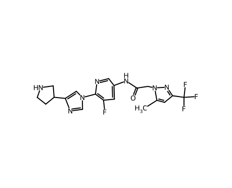 Cc1cc(C(F)(F)F)nn1CC(=O)Nc1cnc(-n2cnc(C3CCNC3)c2)c(F)c1